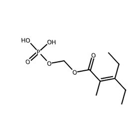 CCC(CC)=C(C)C(=O)OCOP(=O)(O)O